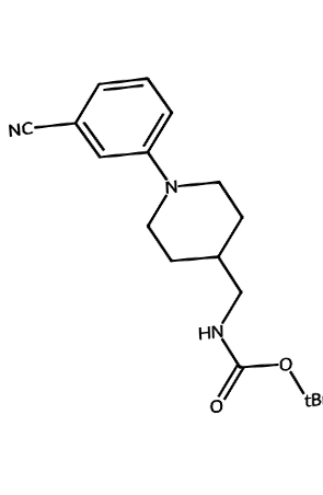 CC(C)(C)OC(=O)NCC1CCN(c2cccc(C#N)c2)CC1